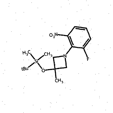 CC1(O[Si](C)(C)C(C)(C)C)CN(c2c(F)cccc2[N+](=O)[O-])C1